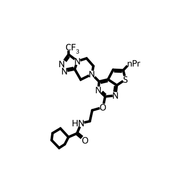 CCCc1cc2c(N3CCn4c(nnc4C(F)(F)F)C3)nc(OCCNC(=O)C3CCCCC3)nc2s1